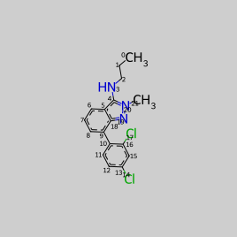 CCCNc1c2cccc(-c3ccc(Cl)cc3Cl)c2nn1C